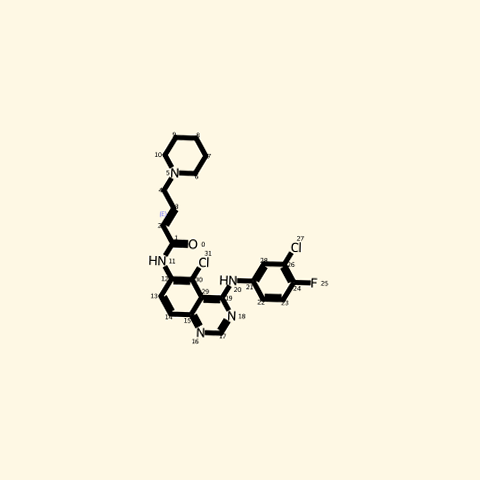 O=C(/C=C/CN1CCCCC1)Nc1ccc2ncnc(Nc3ccc(F)c(Cl)c3)c2c1Cl